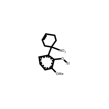 CCOc1c(OC)cccc1C1([N+](=O)[O-])CC=CCC1